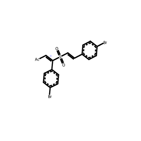 CC(=O)/C=C(\c1ccc(Br)cc1)S(=O)(=O)C=Cc1ccc(Br)cc1